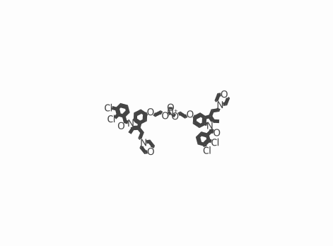 Cc1c(CCN2CCOCC2)c2cc(OCCO[N+](=O)OCCOc3ccc4c(c3)c(CCN3CCOCC3)c(C)n4C(=O)c3cccc(Cl)c3Cl)ccc2n1C(=O)c1cccc(Cl)c1Cl